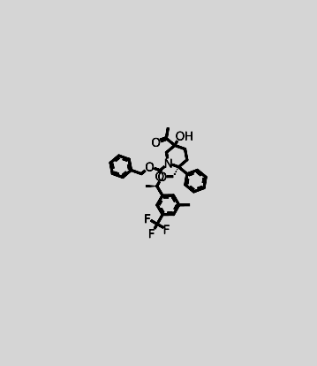 CC(=O)C1(O)CC[C@@](CO[C@H](C)c2cc(C)cc(C(F)(F)F)c2)(c2ccccc2)N(C(=O)OCc2ccccc2)C1